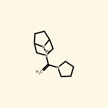 C=C(N1CCCC1)N1CC2CCC(C1)N2C(C)C